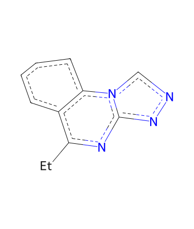 CCc1nc2nncn2c2ccccc12